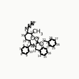 CC1OC(C(c2ccccc2)N(Cc2ccccc2)C(=O)OCc2ccccc2)CCC1N=[N+]=[N-]